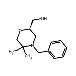 CC1(C)CO[C@@H](CO)CN1Cc1ccccc1